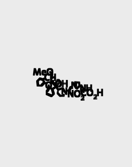 COCCCC[C@@](O)(c1ccccc1Oc1ccccc1C)[C@@H]1CCCN(C(=CN2CC[C@H](NC(=O)O)C2)[N+](=O)[O-])C1